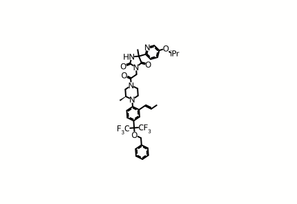 CC=Cc1cc(C(OCc2ccccc2)(C(F)(F)F)C(F)(F)F)ccc1N1CCN(C(=O)CN2C(=O)NC(C)(c3ccc(OC(C)C)cn3)C2=O)C[C@@H]1C